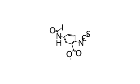 COC(=O)c1cc(NC(=O)I)ccc1N=C=S